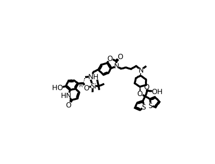 CN(CCCCn1c(=O)oc2cc(CNC[C@H](O[Si](C)(C)C(C)(C)C)c3ccc(O)c4[nH]c(=O)ccc34)ccc21)[C@H]1CC[C@H](OC(C(=O)O)(c2cccs2)c2cccs2)CC1